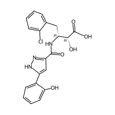 O=C(N[C@H](Cc1ccccc1Cl)[C@@H](O)C(=O)O)c1cc(-c2ccccc2O)[nH]n1